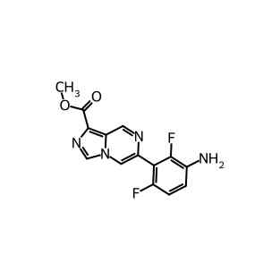 COC(=O)c1ncn2cc(-c3c(F)ccc(N)c3F)ncc12